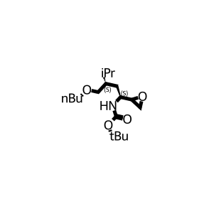 CCCCOC[C@@H](C[C@H](NC(=O)OC(C)(C)C)C1CO1)C(C)C